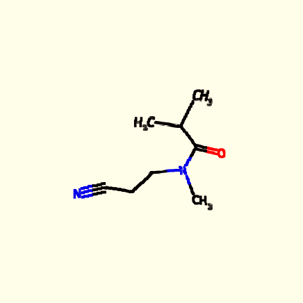 CC(C)C(=O)N(C)CCC#N